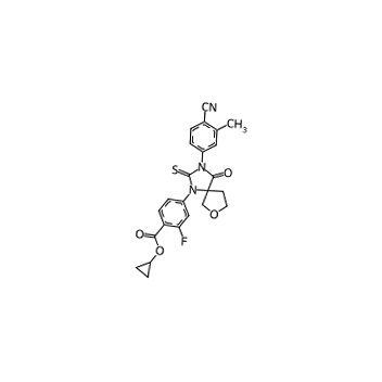 Cc1cc(N2C(=O)C3(CCOC3)N(c3ccc(C(=O)OC4CC4)c(F)c3)C2=S)ccc1C#N